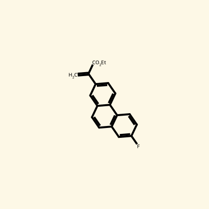 C=C(C(=O)OCC)c1ccc2c(ccc3cc(F)ccc32)c1